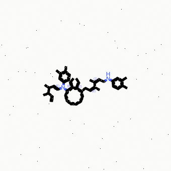 C=CC(C)C(C)/C=C/N(c1ccc(C)c(C)c1)c1ccccccc(C/C=C(C)\C(C)=C/CNc2ccc(C)c(C)c2)c(=C/C)/c1=C\C